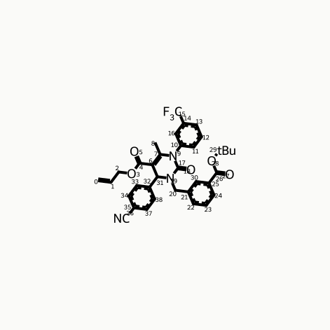 C=CCOC(=O)C1=C(C)N(c2cccc(C(F)(F)F)c2)C(=O)N(Cc2cccc(C(=O)OC(C)(C)C)c2)C1c1ccc(C#N)cc1